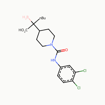 BC(CCCC)(C(=O)O)C1CCN(C(=O)Nc2ccc(Cl)c(Cl)c2)CC1